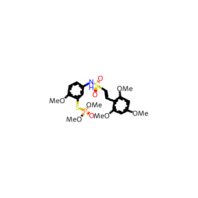 COc1cc(OC)c(/C=C/S(=O)(=O)Nc2ccc(OC)c(SP(=O)(OC)OC)c2)c(OC)c1